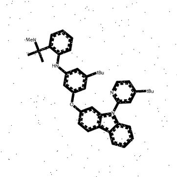 CNC(C)(C)c1ccccc1Nc1cc(Oc2ccc3c4ccccc4n(-c4cc(C(C)(C)C)ccn4)c3c2)cc(C(C)(C)C)c1